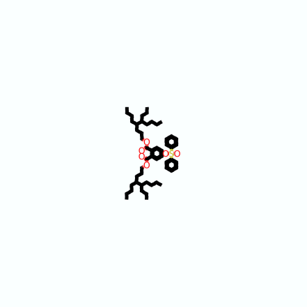 CCCCC(CCC)C(CCCC)CCCOC(=O)c1ccccc1C(=O)OCCCC(CCCC)C(CCC)CCCC.O=S(=O)(c1ccccc1)c1ccccc1